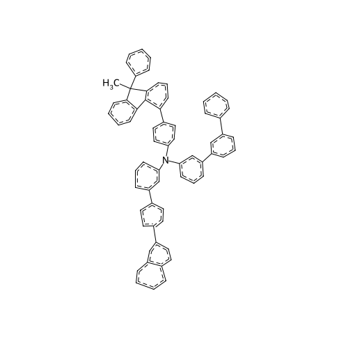 CC1(c2ccccc2)c2ccccc2-c2c(-c3ccc(N(c4cccc(-c5ccc(-c6ccc7ccccc7c6)cc5)c4)c4cccc(-c5cccc(-c6ccccc6)c5)c4)cc3)cccc21